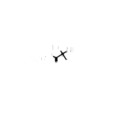 CCCCOC(=O)C(C)(N)CC